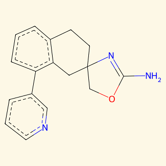 NC1=NC2(CCc3cccc(-c4cccnc4)c3C2)CO1